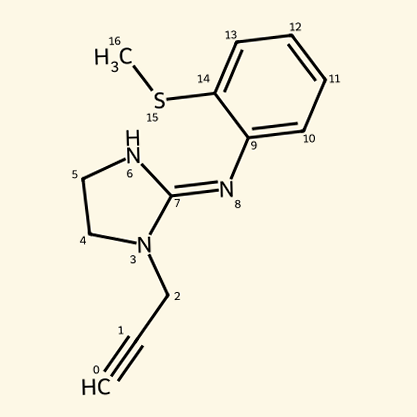 C#CCN1CCN/C1=N\c1ccccc1SC